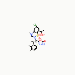 Cc1ccc(F)c(C(C)[C@@H](c2n[nH]c(=O)o2)N2CN(C)c3cc(Cl)cc(C(C)O)c3S2(=O)=O)c1C